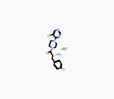 Cl.Cl.N[C@H](Cc1ccc(Cl)cc1)C(=O)N1CCN(c2ncncc2Cl)CC1